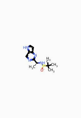 C[C@@H](N[S+]([O-])C(C)(C)C)c1ncc2[nH]ccc2n1